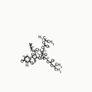 C=C(N=[N+]=[N-])[C@]1(COP(=O)(OCOC(=O)OC(C)C)OCOC(=O)OC(C)C)O[C@@H](n2ccc(=O)[nH]c2=O)[C@H](F)[C@@H]1O